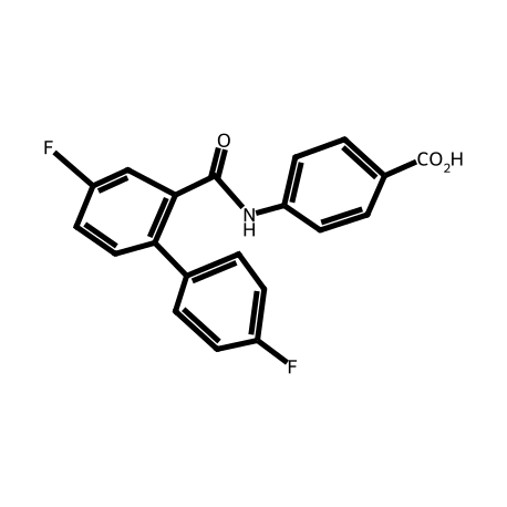 O=C(O)c1ccc(NC(=O)c2cc(F)ccc2-c2ccc(F)cc2)cc1